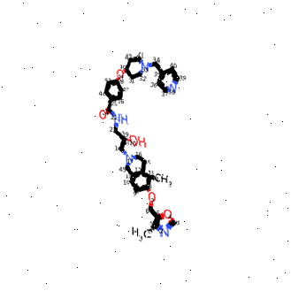 Cc1ncoc1COc1ccc2c(c1C)CCN(C[C@@H](O)CNC(=O)c1ccc(OC3CCN(Cc4ccncc4)CC3)cc1)C2